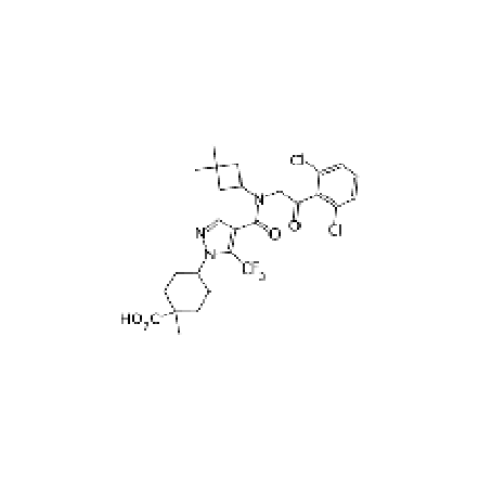 CC1(C)CC(N(CC(=O)c2c(Cl)cccc2Cl)C(=O)c2cnn(C3CCC(C)(C(=O)O)CC3)c2C(F)(F)F)C1